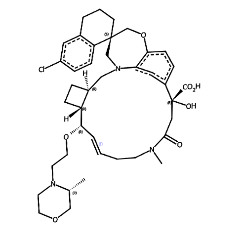 C[C@@H]1COCCN1CCO[C@H]1/C=C/CCN(C)C(=O)C[C@](O)(C(=O)O)c2ccc3c(c2)N(C[C@@H]2CC[C@H]21)C[C@@]1(CCCc2cc(Cl)ccc21)CO3